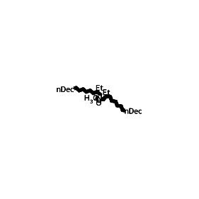 CCCCCCCCCCCCCCCCC(CC)C[N+](C)([O-])CC(CC)CCCCCCCCCCCCCCCC